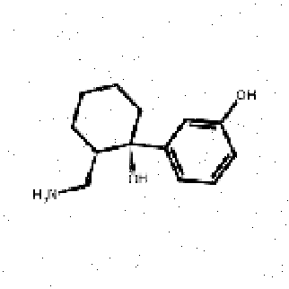 NC[C@H]1CCCC[C@]1(O)c1cccc(O)c1